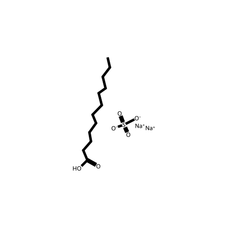 CCCCCCCCCCCC(=O)O.O=S(=O)([O-])[O-].[Na+].[Na+]